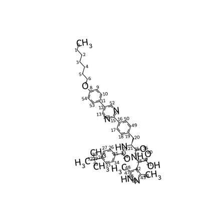 CCCCCCCOc1ccc(-c2cnc(-c3ccc(C[C@H](NC(=O)c4ccc(C(C)(C)C)cc4)C(=O)NC(C(=O)O)c4c(C)n[nH]c4C)cc3)nc2)cc1